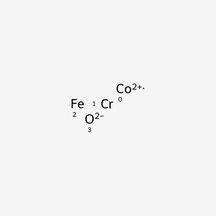 [Co+2].[Cr].[Fe].[O-2]